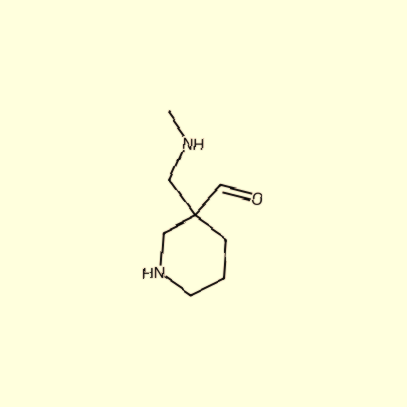 CNCC1(C=O)CCCNC1